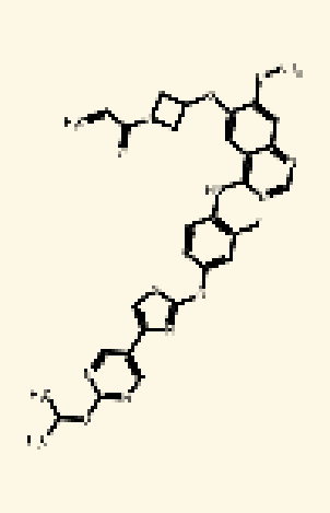 C=CC(=O)N1CC(Oc2cc3c(Nc4ccc(Oc5nc(-c6cnc(OC(C)C)nc6)cs5)cc4F)ncnc3cc2OC)C1